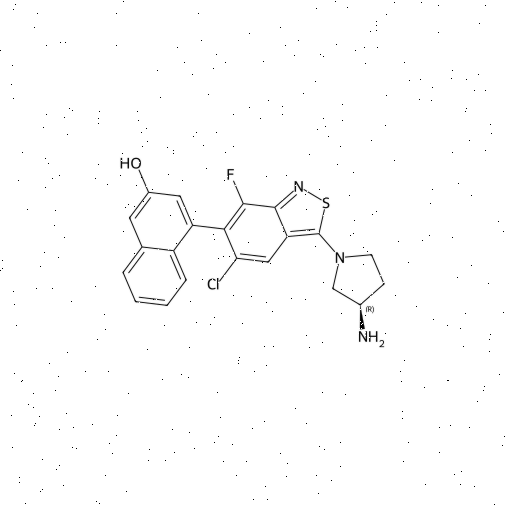 N[C@@H]1CCN(c2snc3c(F)c(-c4cc(O)cc5ccccc45)c(Cl)cc23)C1